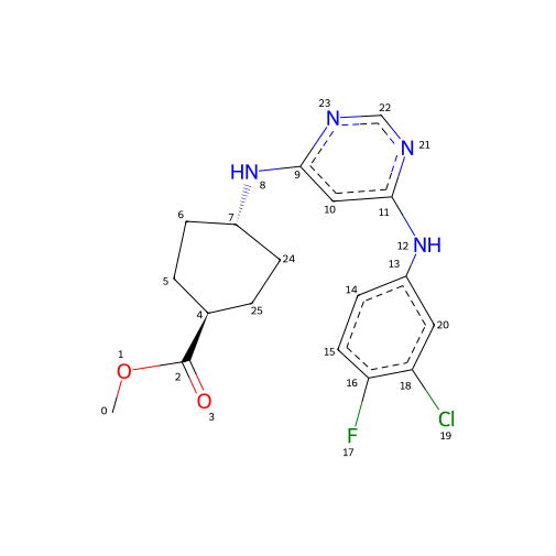 COC(=O)[C@H]1CC[C@H](Nc2cc(Nc3ccc(F)c(Cl)c3)ncn2)CC1